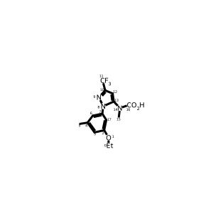 CCOc1cc(C)cc(-n2nc(C(F)(F)F)cc2N(C)C(=O)O)c1